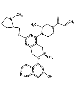 C=CC(=O)N1CCN(c2nc(OCC3CCCN3C)nc3c2C[C@@H](C)[C@H](c2cc(O)cc4ccccc24)C3)C(C)C1